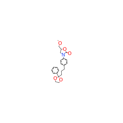 COCC1CN(c2ccc(CCCC3(c4ccccc4)OCCO3)cc2)C(=O)O1